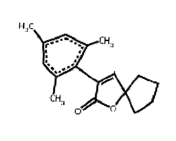 Cc1cc(C)c(C2=[C]C3(CCCC3)OC2=O)c(C)c1